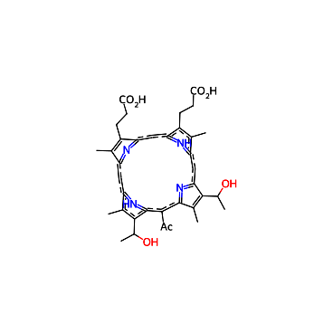 CC(=O)c1c2nc(cc3[nH]c(cc4nc(cc5[nH]c1c(C(C)O)c5C)C(C)=C4CCC(=O)O)c(CCC(=O)O)c3C)C(C(C)O)=C2C